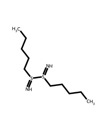 CCCCCS(=N)S(=N)CCCCC